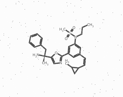 CCCN(c1cc(/C=C\C2CC2C)cc(-c2ncc([C@](C)(N)Cc3ccccc3)o2)c1)S(C)(=O)=O